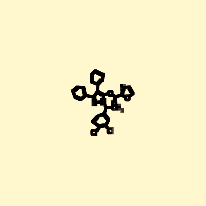 CC(c1ccc(Cl)c(Cl)c1)n1nc(-c2ccccc2)c(-c2ccccc2)c1OC(=O)c1ncco1